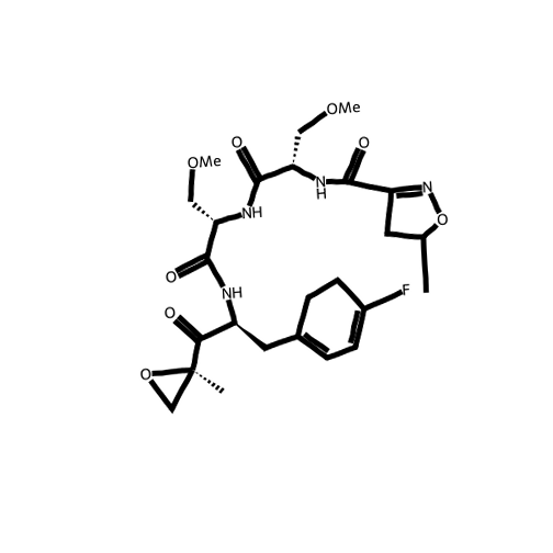 COC[C@H](NC(=O)C1=NOC(C)C1)C(=O)N[C@@H](COC)C(=O)N[C@@H](CC1=CC=C(F)CC1)C(=O)[C@@]1(C)CO1